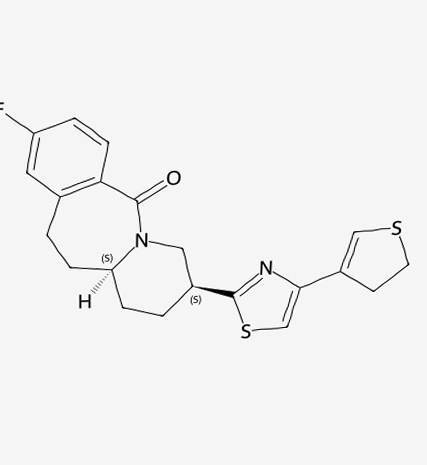 O=C1c2ccc(F)cc2CC[C@@H]2CC[C@H](c3nc(C4=CSCC4)cs3)CN12